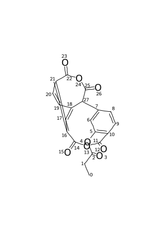 CCC(=O)Oc1cc2ccc1C(=O)OC(=O)c1cc3ccc1C(=O)OC(=O)C23